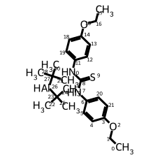 CCOc1ccc(NC(=S)Nc2ccc(OCC)cc2)cc1.C[C](C)(C)[AlH][C](C)(C)C